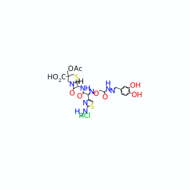 CC(=O)OCC1(C(=O)O)CS[C@@H]2C(NC(=O)C(=NOCC(=O)NN=Cc3ccc(O)c(O)c3)c3csc(N)n3)C(=O)N2C1.Cl